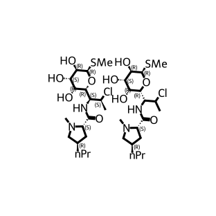 CCC[C@@H]1C[C@@H](C(=O)NC(C(C)Cl)[C@H]2O[C@H](SC)[C@H](O)[C@@H](O)[C@H]2O)N(C)C1.CCC[C@@H]1C[C@@H](C(=O)N[C@@H]([C@H]2O[C@H](SC)[C@H](O)[C@@H](O)[C@H]2O)[C@H](C)Cl)N(C)C1